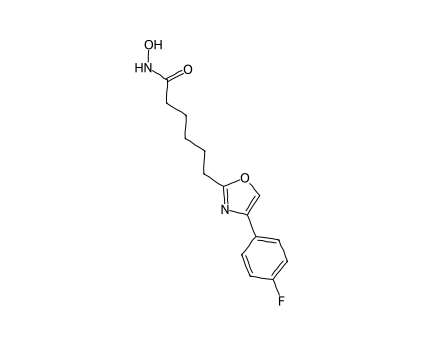 O=C(CCCCCc1nc(-c2ccc(F)cc2)co1)NO